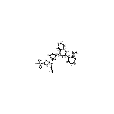 CS(=O)(=O)N1CC(CC#N)(n2ccc(-c3nc(-c4cccnc4N)cc4ncccc34)n2)C1